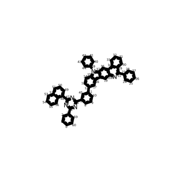 c1ccc(-c2nc(-c3cccc(-c4ccc5c(c4)c4cc6nc(-c7ccccc7)c7ccccc7c6cc4n5-c4ccccc4)c3)nc(-c3cccc4ccccc34)n2)cc1